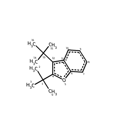 CC(C)(C)c1oc2ccccc2c1C(C)(C)C